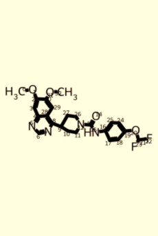 COc1cc2ncnc(C3CCN(C(=O)Nc4ccc(OC(F)F)cc4)CC3)c2cc1OC